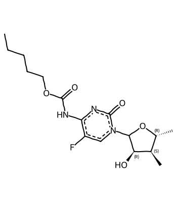 CCCCCOC(=O)Nc1nc(=O)n(C2O[C@H](C)[C@@H](C)[C@H]2O)cc1F